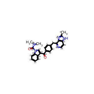 Cc1nc2c(Cc3ccc(C(=O)c4cn(C(=O)N(C)C)c5ccccc45)cc3)nccc2[nH]1